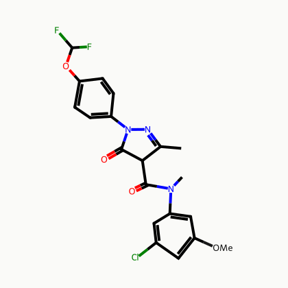 COc1cc(Cl)cc(N(C)C(=O)C2C(=O)N(c3ccc(OC(F)F)cc3)N=C2C)c1